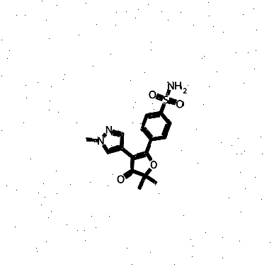 Cn1cc(C2=C(c3ccc(S(N)(=O)=O)cc3)OC(C)(C)C2=O)cn1